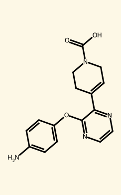 Nc1ccc(Oc2nccnc2C2=CCN(C(=O)O)CC2)cc1